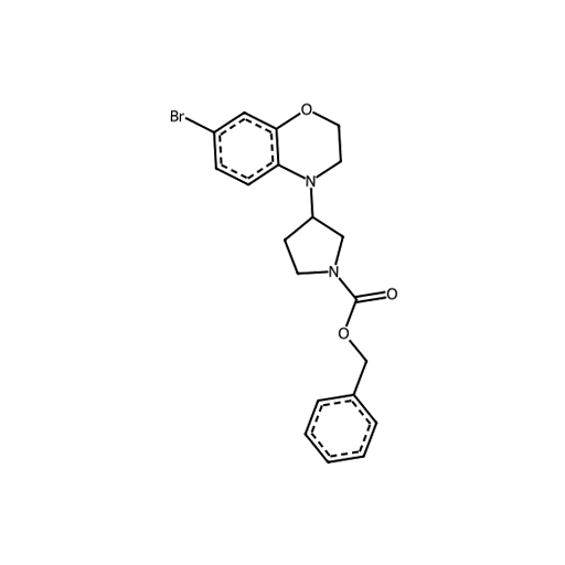 O=C(OCc1ccccc1)N1CCC(N2CCOc3cc(Br)ccc32)C1